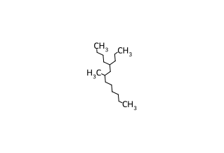 CCCCCCC(C)CC(CCC)CCCC